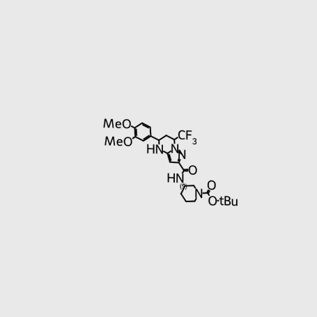 COc1ccc(C2CC(C(F)(F)F)n3nc(C(=O)N[C@H]4CCCN(C(=O)OC(C)(C)C)C4)cc3N2)cc1OC